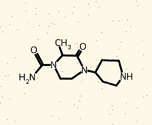 CC1C(=O)N(C2CCNCC2)CCN1C(N)=O